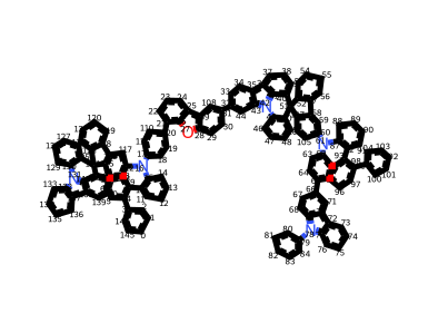 c1ccc(-c2ccccc2-c2ccccc2N(c2ccc(-c3cccc4c3oc3ccc(-c5ccc6c7cccc8c7n(c6c5)-c5ccccc5C85c6ccccc6-c6cc(N(c7ccc(-c8ccc9c(c8)c8ccccc8n9-c8ccccc8)cc7)c7ccccc7-c7ccccc7-c7ccccc7)ccc65)cc34)cc2)c2ccc3c(c2)-c2ccccc2C32c3ccccc3-n3c4ccccc4c4cccc2c43)cc1